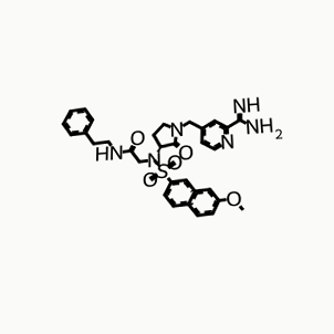 COc1ccc2ccc(S(=O)(=O)N(CC(=O)NCCc3ccccc3)[C@H]3CCN(Cc4ccnc(C(=N)N)c4)C3=O)cc2c1